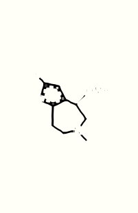 CO[C@H]1CN(C)CCc2sc(Br)cc21